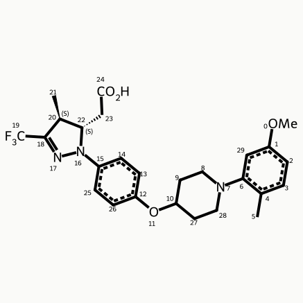 COc1ccc(C)c(N2CCC(Oc3ccc(N4N=C(C(F)(F)F)[C@@H](C)[C@@H]4CC(=O)O)cc3)CC2)c1